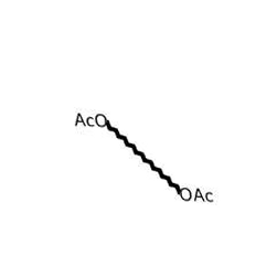 CC(=O)OCCCCCCCCCCCCCCCCCCOC(C)=O